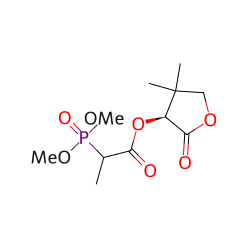 COP(=O)(OC)C(C)C(=O)O[C@@H]1C(=O)OCC1(C)C